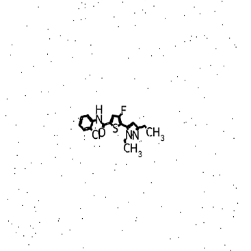 CCc1cc(-c2sc(C(=O)Nc3ccccc3Cl)cc2F)n(CC)n1